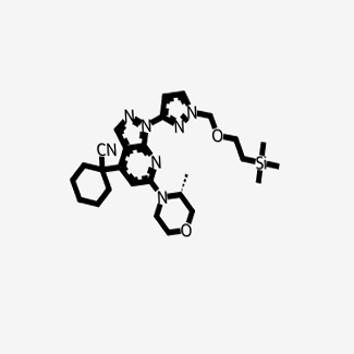 C[C@@H]1COCCN1c1cc(C2(C#N)CCCCC2)c2cnn(-c3ccn(COCC[Si](C)(C)C)n3)c2n1